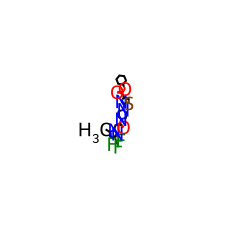 Cc1cc(C(F)(F)F)nn1CC(=O)N1CCN(c2nc(C(=O)OC3CCCCC3)cs2)CC1